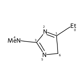 CCC1=NC(NC)=NC1